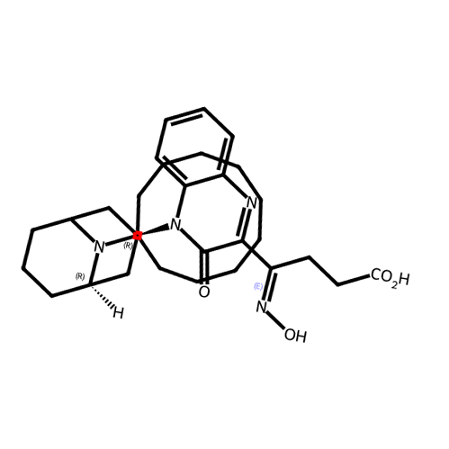 O=C(O)CC/C(=N\O)c1nc2ccccc2n([C@@H]2CC3CCC[C@H](C2)N3C2CCCCCCCCC2)c1=O